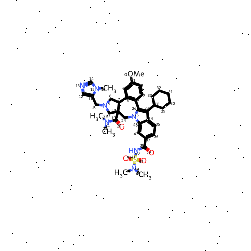 COc1ccc2c(c1)C1CN(Cc3cncn3C)CC1(C(=O)N(C)C)Cn1c-2c(C2CCCCC2)c2ccc(C(=O)NS(=O)(=O)N(C)C)cc21